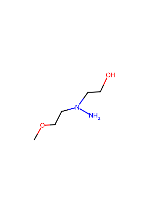 COCCN(N)CCO